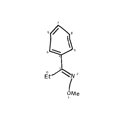 CCC(=NOC)c1ccccc1